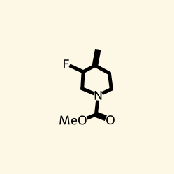 C=C1CCN(C(=O)OC)CC1F